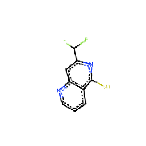 FC(F)c1cc2ncccc2c(S)n1